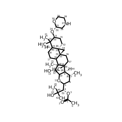 CC(=O)O[C@@H](C1C[C@@H](C)[C@H]2C(O1)[C@H](O)[C@@]1(C)C3CC[C@H]4C(C)(C)[C@@H](O[C@H]5CNCCO5)CC[C@@]45C[C@@]35CC[C@]21C)C(C)(C)O